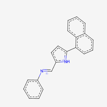 C(=N\c1ccccc1)/c1ccc(-c2cccc3ccccc23)[nH]1